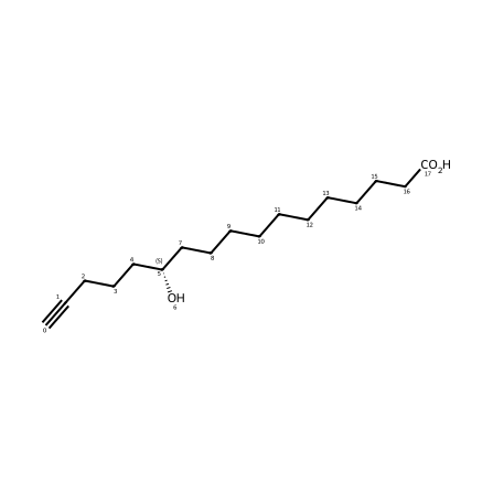 C#CCCC[C@@H](O)CCCCCCCCCCC(=O)O